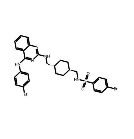 CCc1ccc(Nc2nc(NC[C@H]3CC[C@H](CNS(=O)(=O)c4ccc(Br)cc4)CC3)nc3ccccc23)cc1